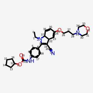 CCN1C(c2ccc(NC(=O)OC3CCCC3)cc2)=C(C#N)C2C=C(OCCCN3CCOCC3)C=CC21